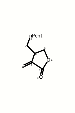 C=C1C(=O)OCC1CCCCCC